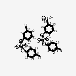 Cc1ccc(OP(=S)([S-])Oc2cccc(C)c2)cc1.Cc1ccc(OP(=S)([S-])Oc2cccc(C)c2)cc1.[Cu+2]